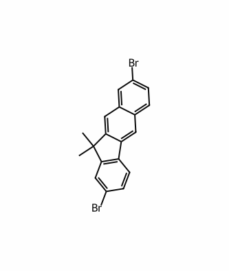 CC1(C)c2cc(Br)ccc2-c2cc3ccc(Br)cc3cc21